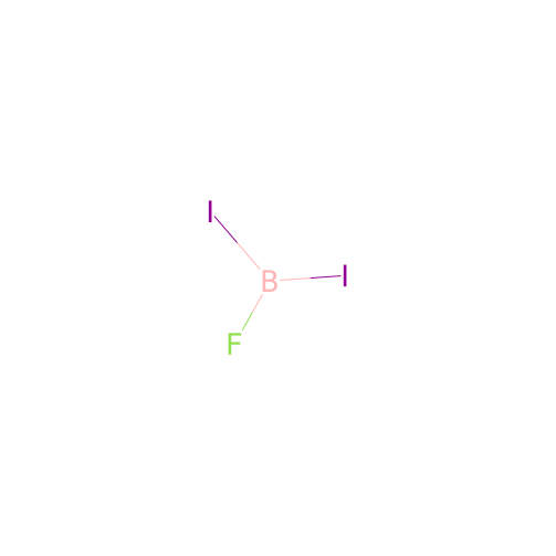 FB(I)I